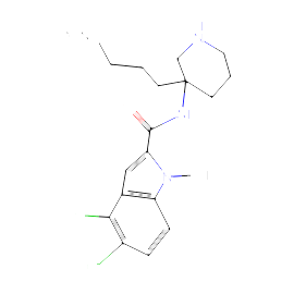 CC(=O)NCCCC1(NC(=O)c2cc3c(Cl)c(Cl)ccc3n2C)CCCNC1